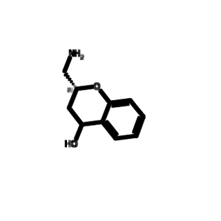 NC[C@H]1CC(O)c2ccccc2O1